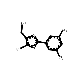 Cc1nc(-c2cc(C(F)(F)F)cc(C(F)(F)F)c2)sc1CO